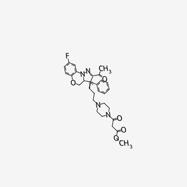 COC(=O)CC(=O)N1CCN(CCC[C@]2(c3ccccc3)C(C(C)=O)=NN3c4cc(F)ccc4OCC32)CC1